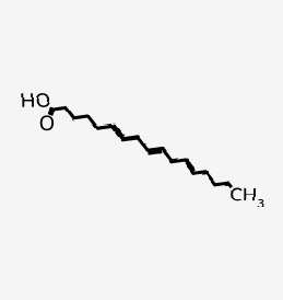 CCCC/C=C/C/C=C/C/C=C/CCCCC(=O)O